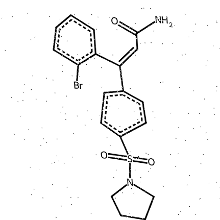 NC(=O)C=C(c1ccc(S(=O)(=O)N2CCCC2)cc1)c1ccccc1Br